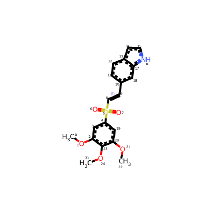 COc1cc(S(=O)(=O)/C=C/c2ccc3cc[nH]c3c2)cc(OC)c1OC